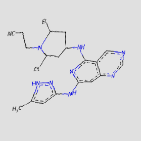 CCC1CC(Nc2nc(Nc3cc(C)[nH]n3)cc3ncncc23)CC(CC)N1CCC#N